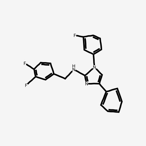 Fc1cccc(-n2cc(-c3ccccc3)nc2NCc2ccc(F)c(F)c2)c1